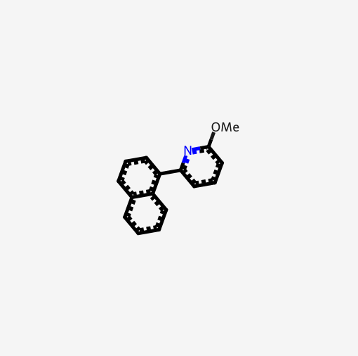 COc1cccc(-c2cccc3ccccc23)n1